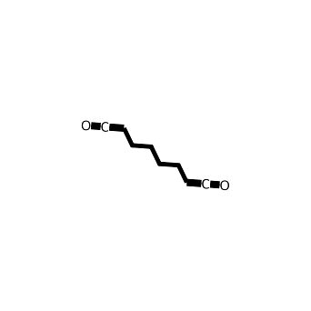 O=C=CCCCCC=C=O